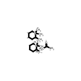 CC(N)=O.CC1CCCC[Si]1(C)C.CC1CCCC[Si]1(C)C